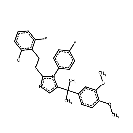 COc1ccc(C(C)(C)c2cnc(SCc3c(F)cccc3Cl)n2-c2ccc(F)cc2)cc1OC